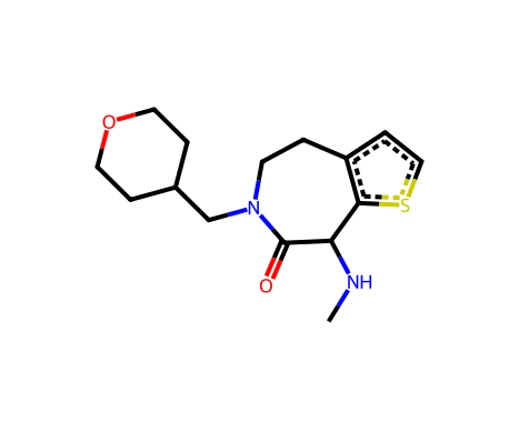 CNC1C(=O)N(CC2CCOCC2)CCc2ccsc21